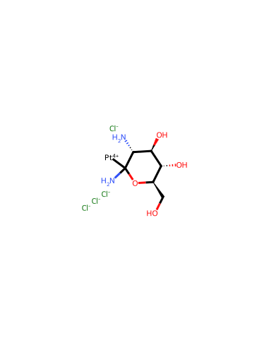 N[C@@H]1[C@@H](O)[C@H](O)[C@@H](CO)O[C]1(N)[Pt+4].[Cl-].[Cl-].[Cl-].[Cl-]